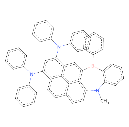 CN1c2ccccc2B(c2ccccc2)c2cc3c(N(c4ccccc4)c4ccccc4)cc(N(c4ccccc4)c4ccccc4)c4ccc5ccc1c2c5c43